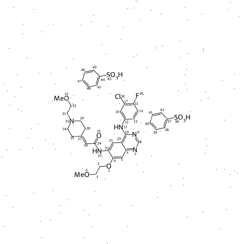 COCCOc1cc2ncnc(Nc3ccc(F)c(Cl)c3)c2cc1NC(=O)C=C1CCN(CCOC)CC1.O=S(=O)(O)c1ccccc1.O=S(=O)(O)c1ccccc1